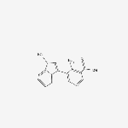 Nc1c(C(=O)O)cccc1C1=CC(O)c2ccccc21